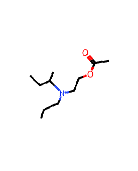 CCCN(CCOC(C)=O)C(C)CC